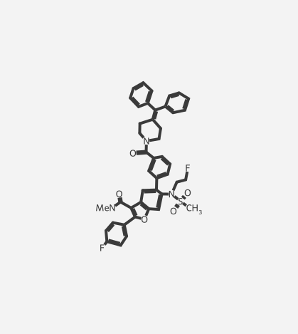 CNC(=O)c1c(-c2ccc(F)cc2)oc2cc(N(CCF)S(C)(=O)=O)c(-c3cccc(C(=O)N4CCC(=C(c5ccccc5)c5ccccc5)CC4)c3)cc12